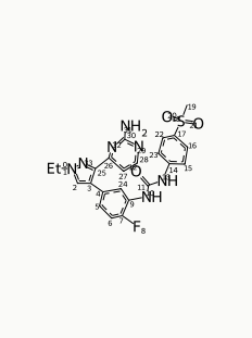 CCn1cc(-c2ccc(F)c(NC(=O)Nc3ccc(S(C)(=O)=O)cc3)c2)c(-c2ccnc(N)n2)n1